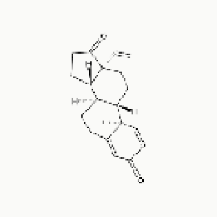 C=C[C@]12CC[C@H]3[C@@H](CCC4=CC(=O)C=C[C@@]43C)[C@@H]1CCC2=O